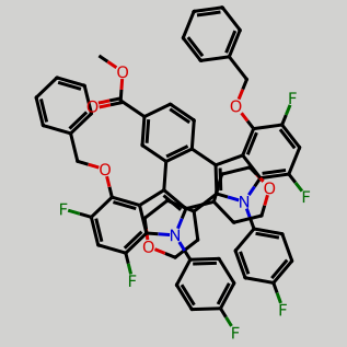 COC(=O)c1ccc(-c2c(C3CCOCC3)n(-c3ccc(F)cc3)c3c(F)cc(F)c(OCc4ccccc4)c23)c(-c2c(C3CCOCC3)n(-c3ccc(F)cc3)c3c(F)cc(F)c(OCc4ccccc4)c23)c1